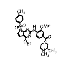 CCOc1nc(Nc2ccc(C(=O)N3CCN(C)[C@H](C)C3)cc2OC)nc2c1ccn2S(=O)(=O)c1ccc(C)cc1